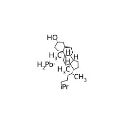 CC(C)CCCC(C)[C@H]1CC[C@H]2[C@@H]3CC=C4C[C@@H](O)CC[C@]4(C)[C@H]3CC[C@]12C.[PbH2]